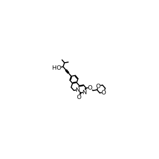 CC(C)C(O)C#Cc1ccc2c(c1)CCn1c-2cc(OCC2COCCO2)nc1=O